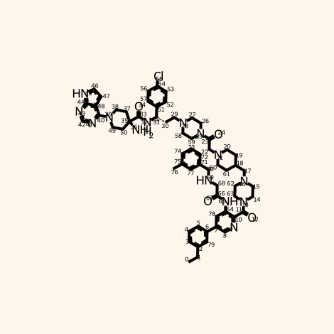 CCc1cccc(-c2cnc(C(=O)N3CCN(CC4CCN(CC(=O)N5CCN(CC[C@H](NC(=O)C6(N)CCN(c7ncnc8[nH]ccc78)CC6)c6ccc(Cl)cc6)CC5)CC4)CC3)c(NC(=O)CNCc3cccc(C)c3)c2)c1